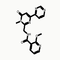 COc1ncccc1C(=O)NCc1nc(-c2ccncn2)cc(=O)n1C